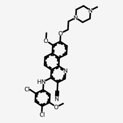 COc1cc(Nc2c(C#N)cnc3c2ccc2c(OC)c(OCCN4CCN(C)CC4)ccc23)c(Cl)cc1Cl